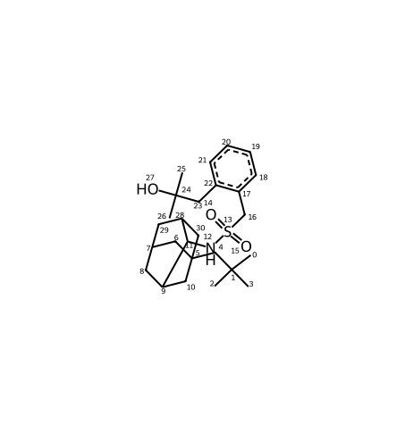 CC(C)(C)CC12CC3CC(C1)C(NS(=O)(=O)Cc1ccccc1CC(C)(C)O)C(C3)C2